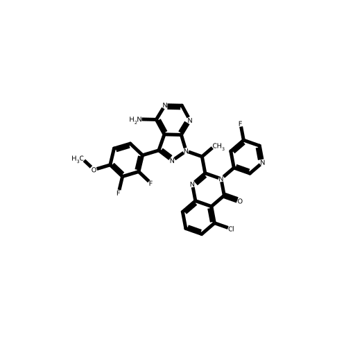 COc1ccc(-c2nn(C(C)c3nc4cccc(Cl)c4c(=O)n3-c3cncc(F)c3)c3ncnc(N)c23)c(F)c1F